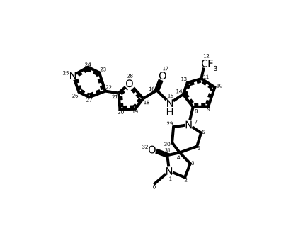 CN1CCC2(CCN(c3ccc(C(F)(F)F)cc3NC(=O)c3ccc(-c4ccncc4)o3)CC2)C1=O